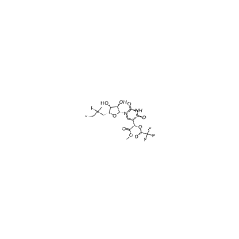 CCC(C)(I)C[C@H]1O[C@@H](n2cc(C(OC(=O)C(F)(F)F)C(=O)OC)c(=O)[nH]c2=O)[C@H](O)[C@@H]1O